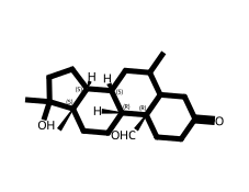 CC1C[C@@H]2[C@@H](CC[C@@]3(C)[C@H]2CCC3(C)O)[C@@]2(C=O)CCC(=O)CC12